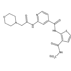 CCOC(=O)NC(=O)c1ccsc1NC(=O)c1ccnc(NC(=O)CN2CCOCC2)c1